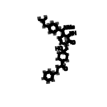 CN/C(=C1/N=CN(CC2(O)CCN(C(=O)CCc3ccccc3)CC2)C(=O)C1=N)c1ccc(CN(C)C)cc1